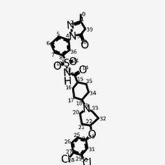 CC1=NN(c2cccc(S(=O)(=O)NC(=O)C3CCC(N4CCC(Oc5ccc(Cl)c(Cl)c5)CC4)CC3)c2)C(=O)C1